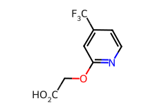 O=C(O)COc1cc(C(F)(F)F)ccn1